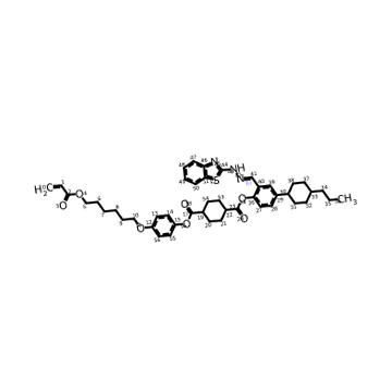 C=CC(=O)OCCCCCCOc1ccc(OC(=O)C2CCC(C(=O)Oc3ccc(C4CCC(CCC)CC4)cc3/C=N/Nc3nc4ccccc4s3)CC2)cc1